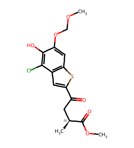 COCOc1cc2sc(C(=O)C[C@H](C)C(=O)OC)cc2c(Cl)c1O